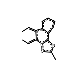 C/C=c1\c(=C/C)n2nc(C)nc2c2ccccc12